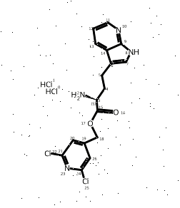 Cl.Cl.N[C@@H](CCc1c[nH]c2ncccc12)C(=O)OCc1cc(Cl)nc(Cl)c1